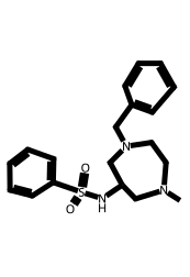 CN1CCN(Cc2ccccc2)CC(NS(=O)(=O)c2ccccc2)C1